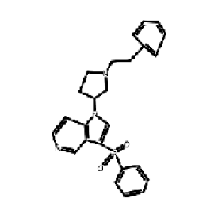 O=S(=O)(c1ccccc1)c1cn(C2CCN(CCc3ccccc3)C2)c2ccncc12